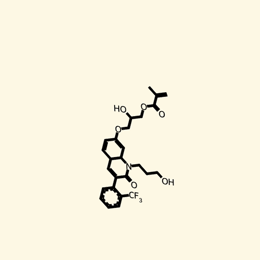 C=C(C)C(=O)OCC(O)COC1=CC2C(C=C1)C=C(c1ccccc1C(F)(F)F)C(=O)N2CCCO